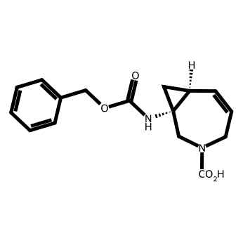 O=C(N[C@]12C[C@H]1C=CCN(C(=O)O)C2)OCc1ccccc1